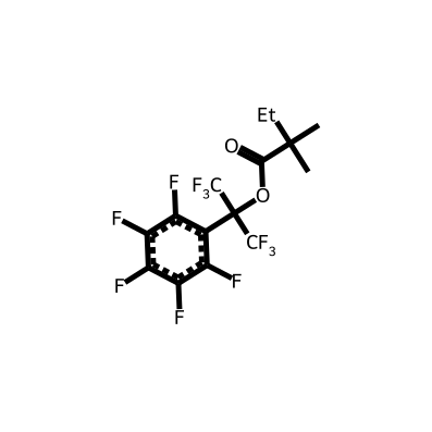 CCC(C)(C)C(=O)OC(c1c(F)c(F)c(F)c(F)c1F)(C(F)(F)F)C(F)(F)F